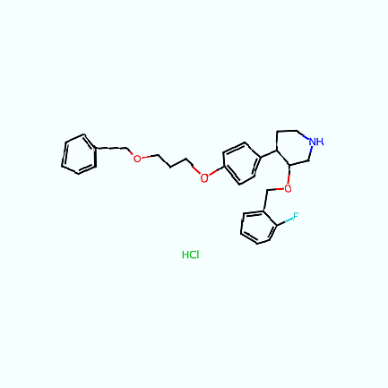 Cl.Fc1ccccc1COC1CNCCC1c1ccc(OCCCOCc2ccccc2)cc1